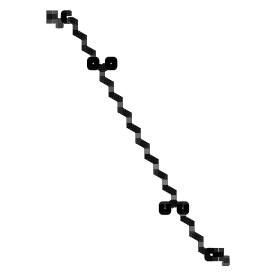 CCCCCCOC(=O)CCCCCCCCCCCCCCCCC(=O)OCCCCCC